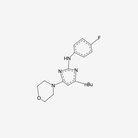 CCCCc1cc(N2CCOCC2)nc(Nc2ccc(F)cc2)n1